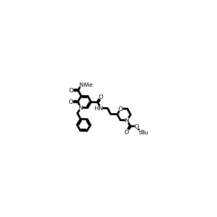 CNC(=O)c1cc(C(=O)NCCC2CN(C(=O)OC(C)(C)C)CCO2)cn(Cc2ccccc2)c1=O